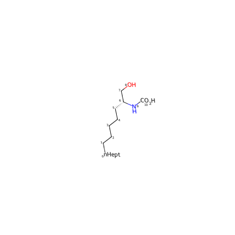 CCCCCCCCCCCC[C@H](CO)NC(=O)O